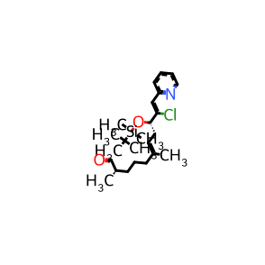 C/C(=C\C[C@H](O[Si](C)(C)C(C)(C)C)/C(Cl)=C/c1ccccn1)CCC[C@H](C)C=O